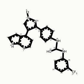 CCn1cc(-c2ccnc3[nH]ccc23)c(-c2ccc(NC(O)Nc3cccc(C(F)(F)F)c3)cc2)n1